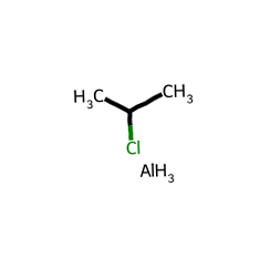 CC(C)Cl.[AlH3]